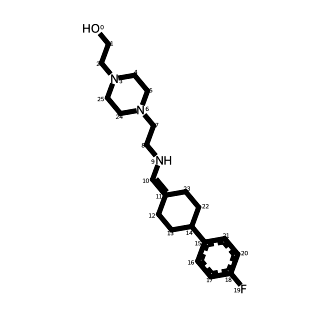 OCCN1CCN(CCNC=C2CCC(c3ccc(F)cc3)CC2)CC1